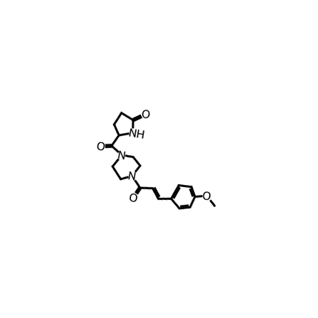 COc1ccc(C=CC(=O)N2CCN(C(=O)C3CCC(=O)N3)CC2)cc1